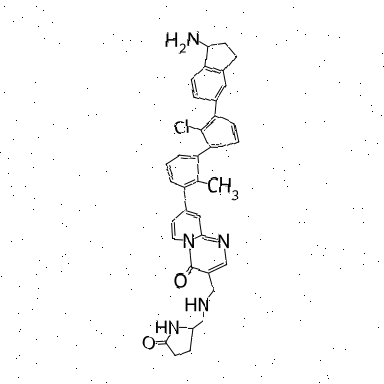 Cc1c(-c2ccn3c(=O)c(CNCC4CCC(=O)N4)cnc3c2)cccc1-c1cccc(-c2ccc3c(c2)CCC3N)c1Cl